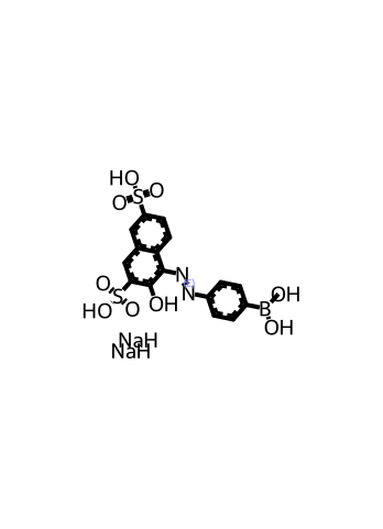 O=S(=O)(O)c1ccc2c(/N=N/c3ccc(B(O)O)cc3)c(O)c(S(=O)(=O)O)cc2c1.[NaH].[NaH]